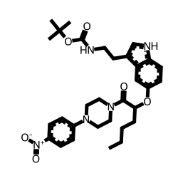 CCCCC(Oc1ccc2[nH]cc(CCNC(=O)OC(C)(C)C)c2c1)C(=O)N1CCN(c2ccc([N+](=O)[O-])cc2)CC1